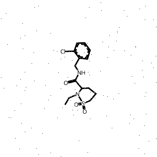 CCN1C(C(=O)NCc2ccccc2Cl)CCCS1(=O)=O